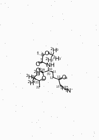 [2H]C([2H])([2H])O[C@@H](C)C(=O)N[C@@H](CCC(=O)C=[N+]=[N-])C(=O)OC(C)C([2H])([2H])[2H]